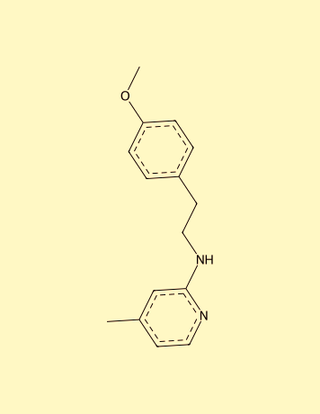 COc1ccc(CCNc2cc(C)ccn2)cc1